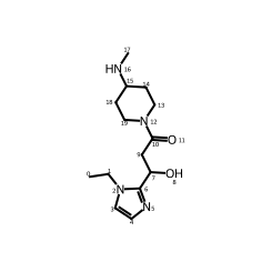 CCn1ccnc1C(O)CC(=O)N1CCC(NC)CC1